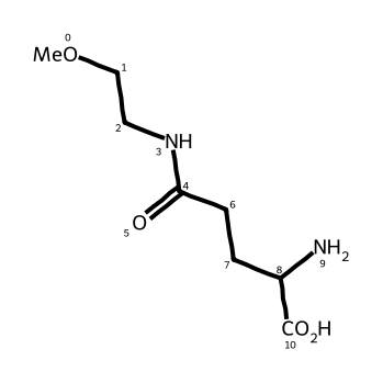 COCCNC(=O)CCC(N)C(=O)O